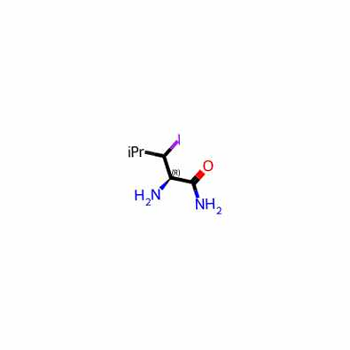 CC(C)C(I)[C@H](N)C(N)=O